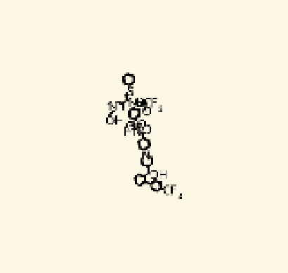 CC(CN(C)CCO)C(CSc1ccccc1)Nc1ccc(S(=O)(=O)NC(=O)c2ccc(N3CCC(C(O)c4ccccc4-c4ccc(C(F)(F)F)cc4)CC3)cc2)cc1S(=O)(=O)C(F)(F)F